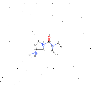 CCN(CC)C(=O)N1CCC(NC)C1